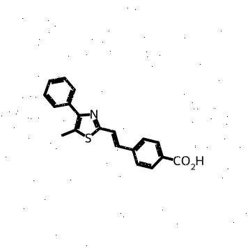 Cc1sc(C=Cc2ccc(C(=O)O)cc2)nc1-c1ccccc1